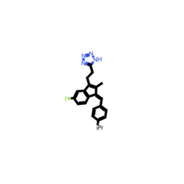 CC1=C(CCc2nnn[nH]2)c2cc(F)ccc2C1=Cc1ccc(C(C)C)cc1